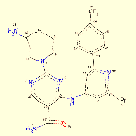 CC(C)c1cc(Nc2nc(N3CCCC(N)C3)ncc2C(N)=O)cc(-c2ccc(C(F)(F)F)cc2)n1